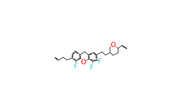 C=CCCc1ccc2c(c1F)Oc1c(cc(CCC3CCC(C=C)OC3)c(F)c1F)C2